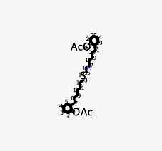 CC(=O)Oc1ccccc1CCCCC=CCSC/C=C/CCCCc1ccccc1OC(C)=O